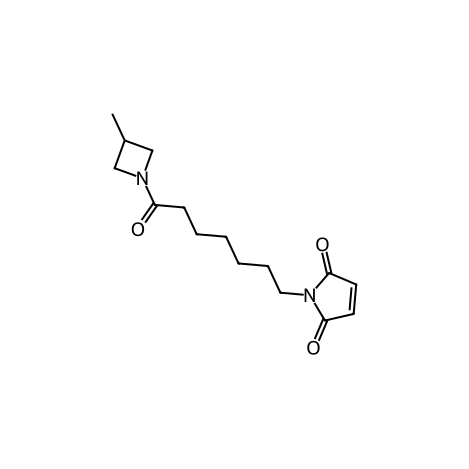 CC1CN(C(=O)CCCCCCN2C(=O)C=CC2=O)C1